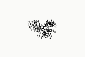 COC(=O)[C@@H]1[C@H](CCCB2OC(C)(C)C(C)(C)O2)[C@@H](NC(=O)[C@@H](NC(=O)OC(C)(C)C)C(C)C)CN1C(=O)OC(C)(C)C